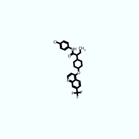 CCC(C(=O)Nc1ccc(Cl)cc1)C1CCC(Oc2ccnc3cc(C(F)(F)F)ccc23)CC1